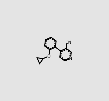 N#Cc1cnccc1-c1ccccc1OC1CC1